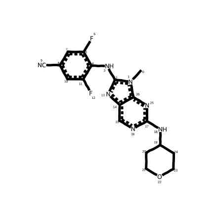 Cn1c(Nc2c(F)cc(C#N)cc2F)nc2cnc(NC3CCOCC3)nc21